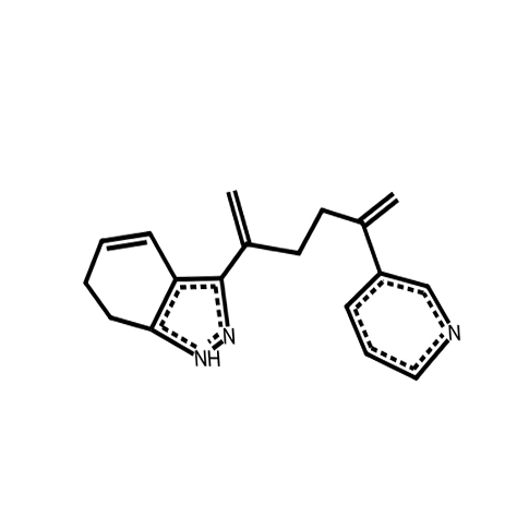 C=C(CCC(=C)c1n[nH]c2c1C=CCC2)c1cccnc1